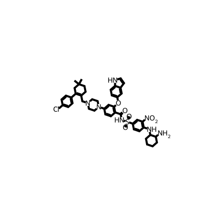 CC1(C)CCC(CN2CCN(c3ccc(C(=O)NS(=O)(=O)c4ccc(NC5CCCCC5N)c([N+](=O)[O-])c4)c(Oc4ccc5[nH]ccc5c4)c3)CC2)=C(c2ccc(Cl)cc2)C1